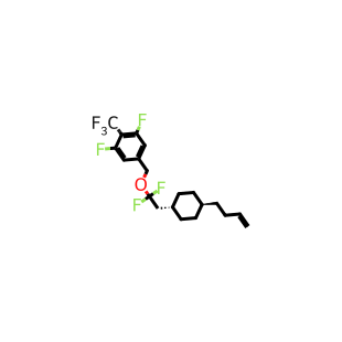 C=CCC[C@H]1CC[C@H](CC(F)(F)OCc2cc(F)c(C(F)(F)F)c(F)c2)CC1